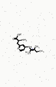 CC/C(C)=C(\N)Nc1ccnc(CC(N)C(=O)O)c1